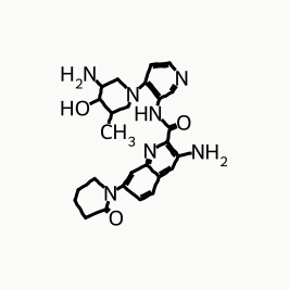 CC1CN(c2ccncc2NC(=O)c2nc3cc(N4CCCCC4=O)ccc3cc2N)CC(N)C1O